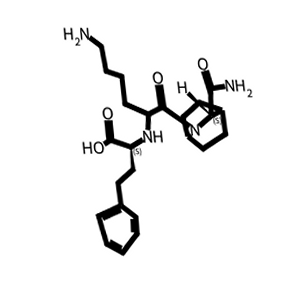 NCCCCC(N[C@@H](CCc1ccccc1)C(=O)O)C(=O)N1C2CCC(CC2)[C@H]1C(N)=O